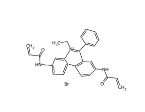 C=CC(=O)Nc1ccc2c(c1)c(-c1ccccc1)[n+](CC)c1cc(NC(=O)C=C)ccc21.[Br-]